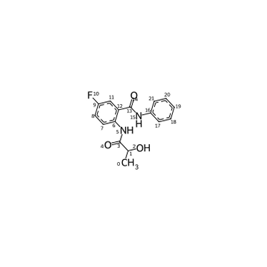 CC(O)C(=O)Nc1ccc(F)cc1C(=O)Nc1ccccc1